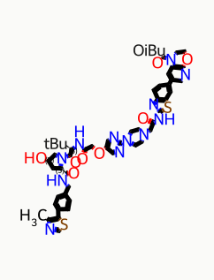 Cc1ncsc1-c1ccc(CNC(=O)[C@@H]2C[C@@H](O)CN2C(=O)[C@@H](NC(=O)COc2cnc(N3CCN(CC(=O)Nc4nc5ccc(-c6cnc7c(c6)N(C(=O)OCC(C)C)CCO7)cc5s4)CC3)nc2)C(C)(C)C)cc1